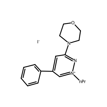 CCC[n+]1cc(-c2ccccc2)cc(N2CCOCC2)n1.[I-]